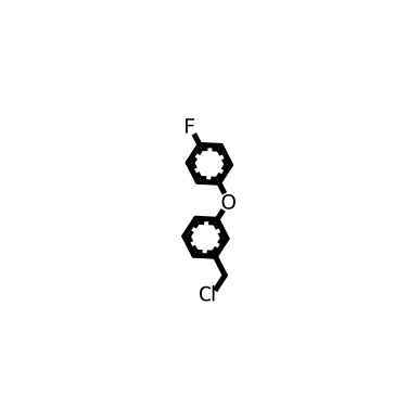 Fc1ccc(Oc2cccc(CCl)c2)cc1